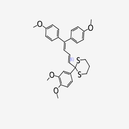 COc1ccc(C(=C/C=C/C2(c3ccc(OC)c(OC)c3)SCCCS2)c2ccc(OC)cc2)cc1